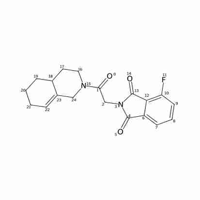 O=C(CN1C(=O)c2cccc(F)c2C1=O)N1CCC2CCCC=C2C1